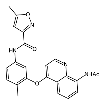 CC(=O)Nc1cccc2c(Oc3cc(NC(=O)c4cc(C)on4)ccc3C)ccnc12